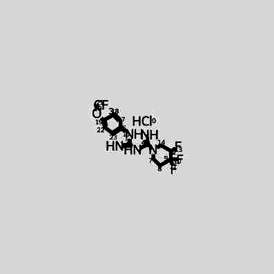 Cl.N=C(NC(=N)N1CCC(F)(F)C(F)C1)Nc1ccc(OC(F)(F)F)cc1